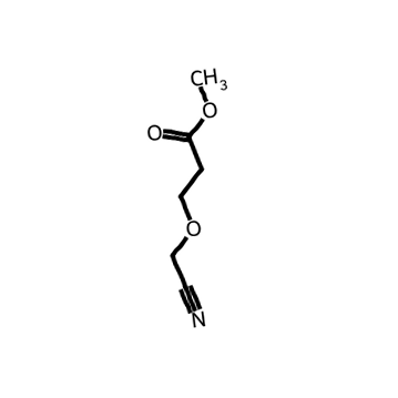 COC(=O)CCOCC#N